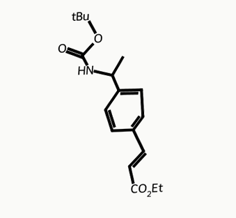 CCOC(=O)C=Cc1ccc(C(C)NC(=O)OC(C)(C)C)cc1